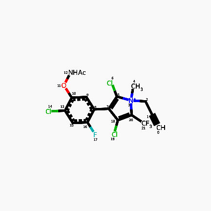 C#CC[N+]1(C)C(Cl)=C(c2cc(ONC(C)=O)c(Cl)cc2F)C(Cl)=C1C(F)(F)F